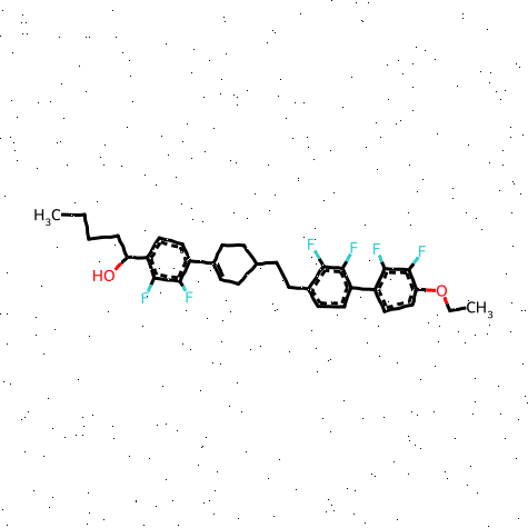 CCCCC(O)c1ccc(C2=CCC(CCc3ccc(-c4ccc(OCC)c(F)c4F)c(F)c3F)CC2)c(F)c1F